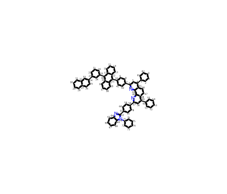 c1ccc(-c2cc(-c3ccc(-c4c5ccccc5c(-c5cccc(-c6ccc7ccccc7c6)c5)c5ccccc45)cc3)nc3c2ccc2c(-c4ccccc4)cc(-c4ccc(-c5nc6ccccc6n5-c5ccccc5)cc4)nc23)cc1